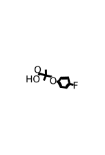 CC(C)(COc1ccc(F)cc1)C(=O)O